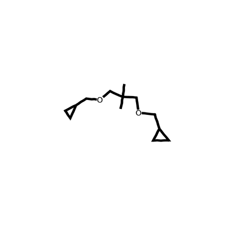 CC(C)(COCC1CC1)COCC1CC1